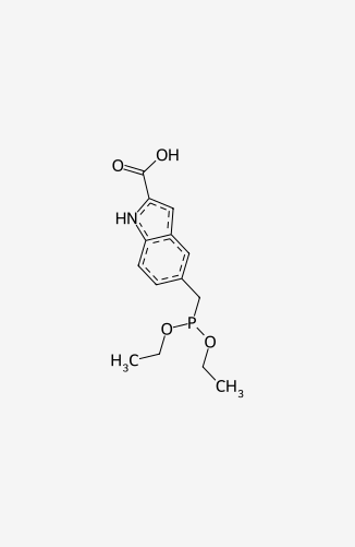 CCOP(Cc1ccc2[nH]c(C(=O)O)cc2c1)OCC